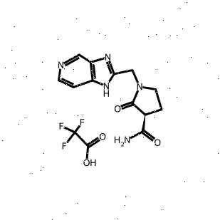 NC(=O)[C@@H]1CCN(Cc2nc3cnccc3[nH]2)C1=O.O=C(O)C(F)(F)F